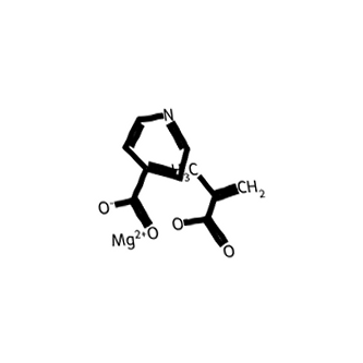 C=C(C)C(=O)[O-].O=C([O-])c1ccncc1.[Mg+2]